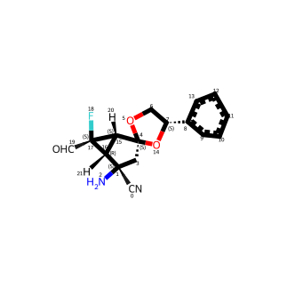 N#C[C@]1(N)C[C@@]2(OC[C@H](c3ccccc3)O2)[C@@H]2[C@H]1[C@@]2(F)C=O